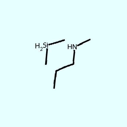 CCCNC.C[SiH2]C